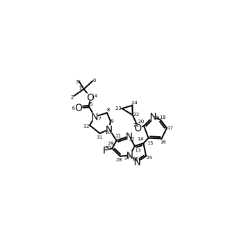 CC(C)(C)OC(=O)N1CCN(c2nc3c(-c4cccnc4OC4CC4)cnn3cc2F)CC1